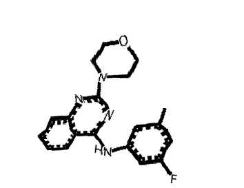 Cc1cc(F)cc(Nc2nc(N3CCOCC3)nc3ccccc23)c1